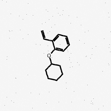 C=Cc1ccccc1OC1CCCCC1